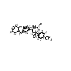 C[C@H]1CC(O)(c2ccc(C(F)(F)F)cc2)C[C@@H](c2cn(CC3CCOCC3)nn2)N1